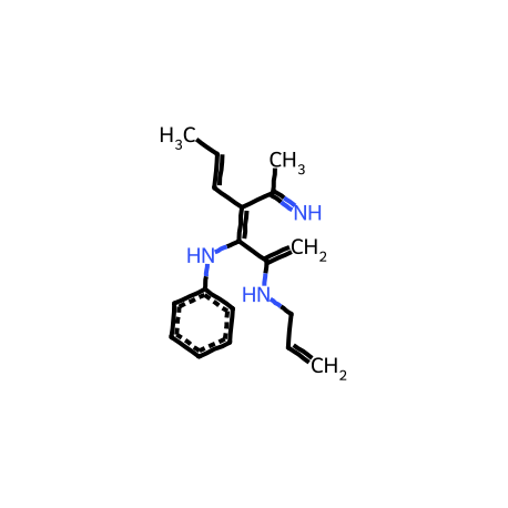 C=CCNC(=C)/C(Nc1ccccc1)=C(/C=CC)C(C)=N